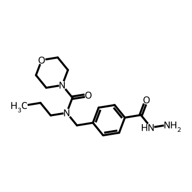 CCCN(Cc1ccc(C(=O)NN)cc1)C(=O)N1CCOCC1